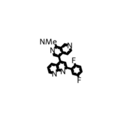 CNc1ncc(-c2cc(-c3cc(F)ccc3F)nc3ncccc23)c2ccncc12